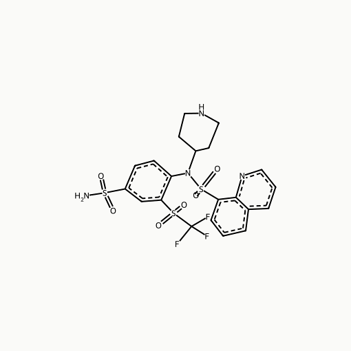 NS(=O)(=O)c1ccc(N(C2CCNCC2)S(=O)(=O)c2cccc3cccnc23)c(S(=O)(=O)C(F)(F)F)c1